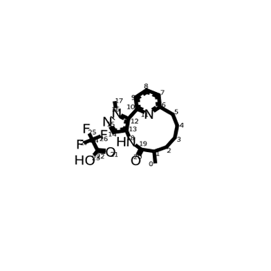 CC1CCCCc2cccc(n2)-c2c(cnn2C)NC1=O.O=C(O)C(F)(F)F